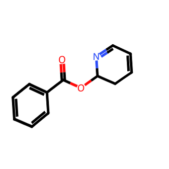 O=C(OC1CC=CC=N1)c1ccccc1